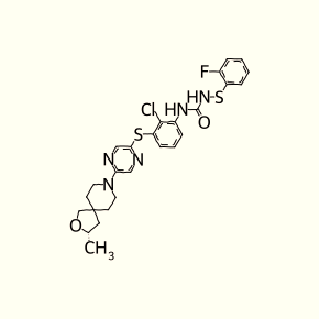 C[C@H]1CC2(CCN(c3cnc(Sc4cccc(NC(=O)NSc5ccccc5F)c4Cl)cn3)CC2)CO1